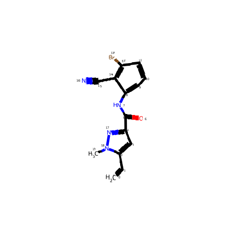 C=Cc1cc(C(=O)Nc2cccc(Br)c2C#N)nn1C